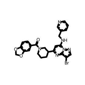 O=C(c1ccc2c(c1)OCO2)N1CCCC(c2cc(NCc3cccnc3)n3ncc(Br)c3n2)C1